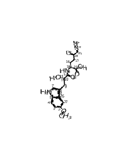 COc1ccc2[nH]cc(C[C@H](O)C(=O)N[C@@H](CCC(=O)C=[N+]=[N-])C(=O)O)c2c1